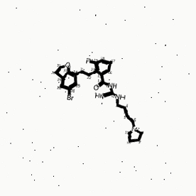 N=C(NCCCCN1CCCC1)NC(=O)c1cccc(F)c1CCc1cc(Br)cc2ccoc12